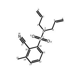 C=CCN(CC=C)S(=O)(=O)c1cccc(C)c1C#N